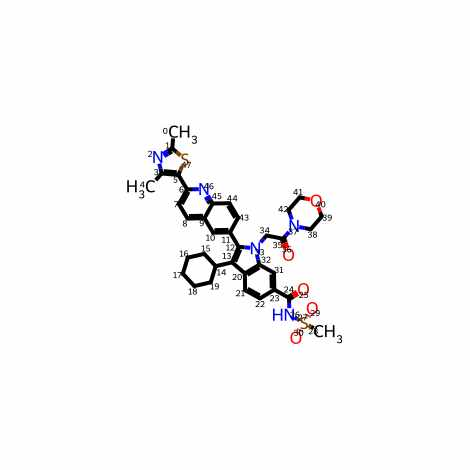 Cc1nc(C)c(-c2ccc3cc(-c4c(C5CCCCC5)c5ccc(C(=O)NS(C)(=O)=O)cc5n4CC(=O)N4CCOCC4)ccc3n2)s1